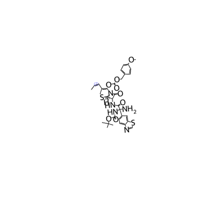 C/C=C\C1=C(OC(=O)OCc2ccc(OC)cc2)N2C(=O)C(NC(=O)C(N)(NC(=O)OC(C)(C)C)c3ccc4ncsc4c3)[C@@H]2SC1